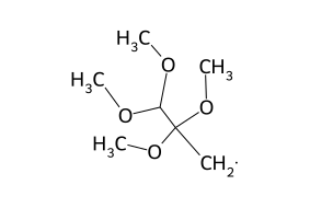 [CH2]C(OC)(OC)C(OC)OC